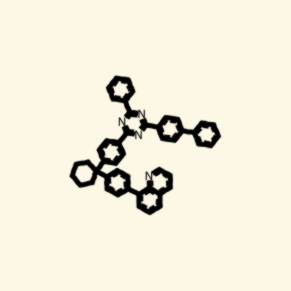 c1ccc(-c2ccc(-c3nc(-c4ccccc4)nc(-c4ccc(C5(c6ccc(-c7cccc8cccnc78)cc6)CCCCC5)cc4)n3)cc2)cc1